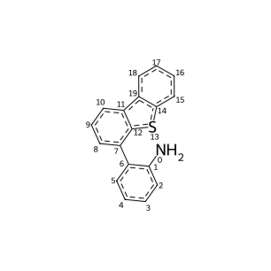 Nc1ccccc1-c1cccc2c1sc1ccccc12